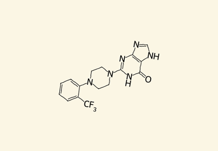 O=c1[nH]c(N2CCN(c3ccccc3C(F)(F)F)CC2)nc2nc[nH]c12